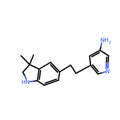 CC1(C)CNc2ccc(CCc3cncc(N)c3)cc21